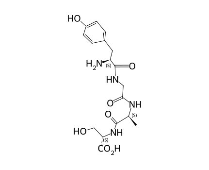 C[C@H](NC(=O)CNC(=O)[C@@H](N)Cc1ccc(O)cc1)C(=O)N[C@@H](CO)C(=O)O